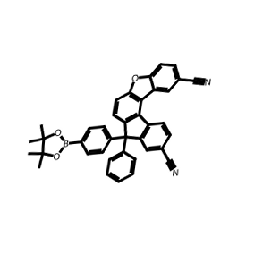 CC1(C)OB(c2ccc(C3(c4ccccc4)c4cc(C#N)ccc4-c4c3ccc3oc5ccc(C#N)cc5c43)cc2)OC1(C)C